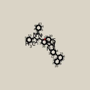 CC[C@@H]1C(c2ccc(C3=Nc4ccc(-c5cccc6ccccc56)cc4C4C5Sc6ccccc6C354)cc2)=NC(c2ccccc2)=NC1c1ccccc1